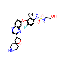 CN(CCO)S(=O)(=O)Nc1ccc(F)c(Oc2ccc3ncc([C@@H]4COC5(CCNCC5)C4)nc3c2)c1C#N